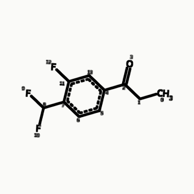 CCC(=O)c1ccc(C(F)F)c(F)c1